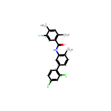 O=C(O)c1cc(C(=O)O)c(C(=O)Nc2cc(-c3ccc(Cl)cc3Cl)ccc2C(=O)O)cc1F